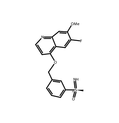 COc1cc2nccc(OCc3cccc([S@](C)(=N)=O)c3)c2cc1F